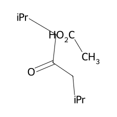 CC(=O)O.CC(C)CC(=O)CC(C)C